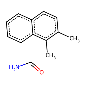 Cc1ccc2ccccc2c1C.NC=O